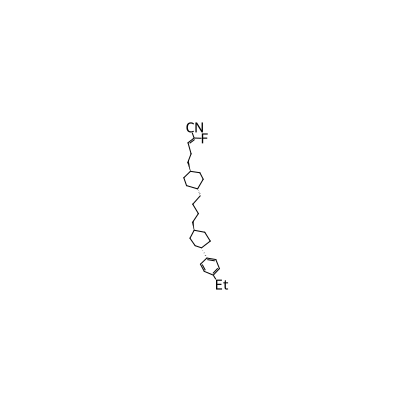 CCc1ccc([C@H]2CC[C@H](CCCC[C@H]3CC[C@H](CCC=C(F)C#N)CC3)CC2)cc1